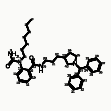 CCCCCCCN(C(N)=O)c1ccccc1C(=O)NCCCC1CCN(C(c2ccccc2)c2ccccc2)C1